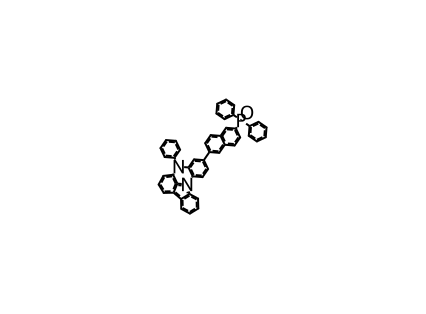 O=P(c1ccccc1)(c1ccccc1)c1ccc2cc(-c3ccc4c(c3)N(c3ccccc3)c3cccc5c6ccccc6n-4c35)ccc2c1